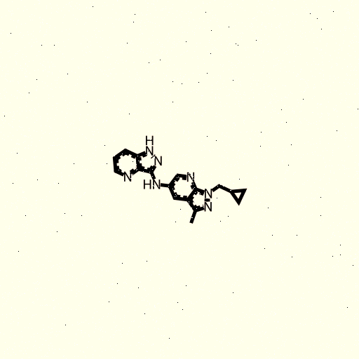 Cc1nn(CC2CC2)c2ncc(Nc3n[nH]c4cccnc34)cc12